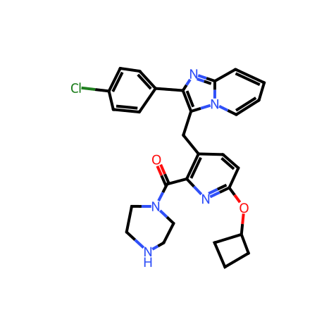 O=C(c1nc(OC2CCC2)ccc1Cc1c(-c2ccc(Cl)cc2)nc2ccccn12)N1CCNCC1